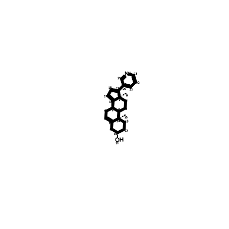 C[C@]12CCC3C(CC=C4C[C@@H](O)CC[C@@]43C)C1=CC=C2c1cccnc1